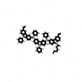 C=Cc1ccc2c(c1)c1cc(N(c3ccccc3)c3ccc4c(c3)c3cc(N(c5ccccc5)c5ccc6c(c5)c5cc(C=C)ccc5n6-c5ccccc5)ccc3n4-c3ccccc3)ccc1n2/C(C)=C/C=C\CC